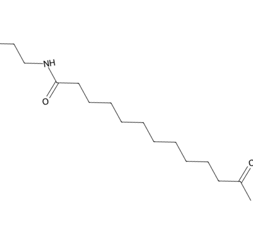 CCCNC(=O)CCCCCCCCCCC(C)=O